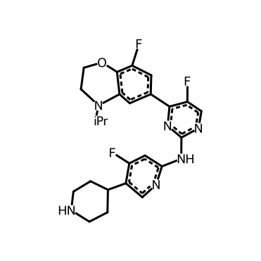 CC(C)N1CCOc2c(F)cc(-c3nc(Nc4cc(F)c(C5CCNCC5)cn4)ncc3F)cc21